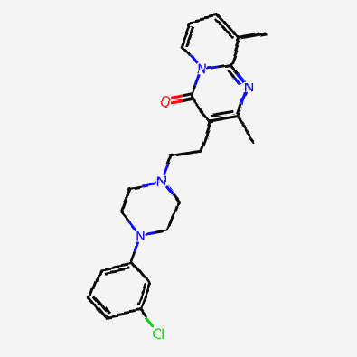 Cc1nc2c(C)cccn2c(=O)c1CCN1CCN(c2cccc(Cl)c2)CC1